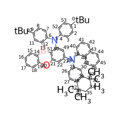 CC(C)(C)c1ccc(N2c3ccc(C(C)(C)C)cc3B3c4ccccc4Oc4cc(N(c5ccc6c(c5)C(C)(C)CCC6(C)C)c5cccc6ccccc56)cc2c43)cc1